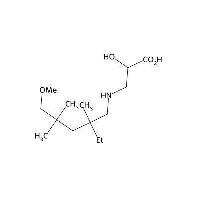 CCC(C)(CNCC(O)C(=O)O)CC(C)(C)COC